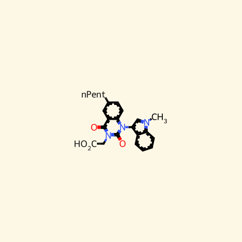 CCCCCc1ccc2c(c1)c(=O)n(CC(=O)O)c(=O)n2-c1cn(C)c2ccccc12